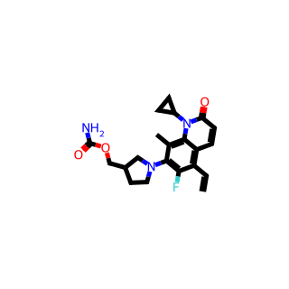 C=Cc1c(F)c(N2CCC(COC(N)=O)C2)c(C)c2c1ccc(=O)n2C1CC1